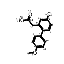 COc1ccc(-c2ccc(Cl)cc2CC(=O)O)cc1